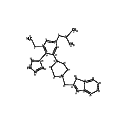 CCc1cc(CC(C)C)cc(N2CCN(Cc3nc4ccccc4s3)CC2)c1-c1nn[nH]n1